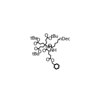 CCCCCCCCCCCCCCC(=O)NC(CCC(=O)OCc1ccccc1)C(=O)NC(CCC(=O)OC(C)(C)C)(CCC(=O)OC(C)(C)C)CCC(=O)OC(C)(C)C